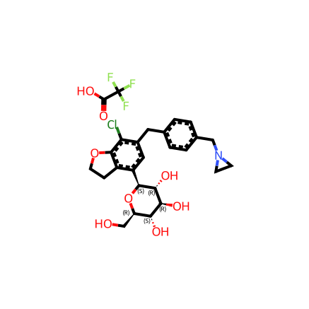 O=C(O)C(F)(F)F.OC[C@H]1O[C@@H](c2cc(Cc3ccc(CN4CC4)cc3)c(Cl)c3c2CCO3)[C@H](O)[C@@H](O)[C@@H]1O